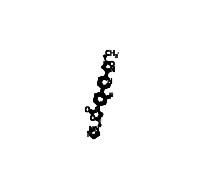 [CH2]C[C@H]1CC(c2ccc(-c3ccc(N4C[C@H](Cn5ccnn5)OC4=O)cc3F)cn2)=NO1